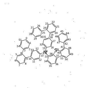 c1ccc(-c2ccccc2-c2ccc(N(c3ccc(-c4ccccc4-c4ccccc4)cc3)c3cccc4c3sc3c(-c5ccccc5)cccc34)cc2)cc1